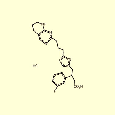 Cl.O=C(O)CC(Cc1csc(CCCc2ccc3c(n2)NCCC3)n1)c1cccc(F)c1